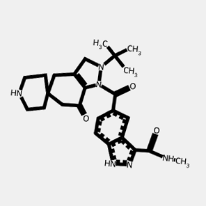 CNC(=O)c1n[nH]c2ccc(C(=O)N3C4=C(CN3C(C)(C)C)CC3(CCNCC3)CC4=O)cc12